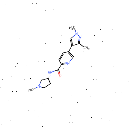 Cc1nn(C)cc1-c1ccc(C(=O)N[C@@H]2CCN(C#N)C2)nc1